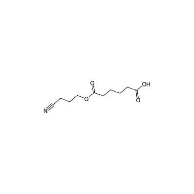 N#CCCCOC(=O)CCCCC(=O)O